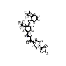 CC(=O)N1CCN(C(=O)/C=C/c2ccc(Sc3ccccc3C(F)(F)F)c(C(F)(F)F)c2)CC1